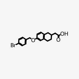 O=C(O)CC1CCc2cc(OCc3ccc(Br)cc3)ccc2C1